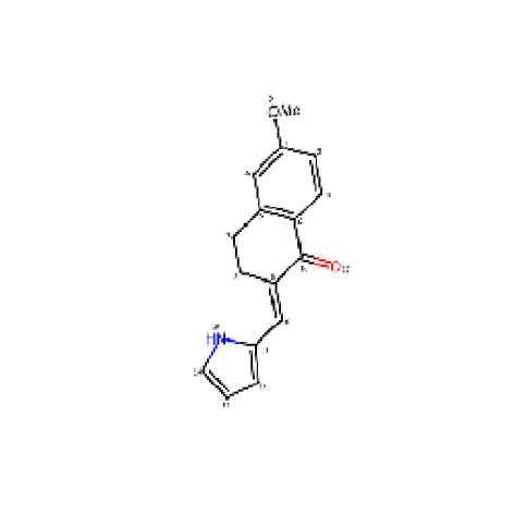 COc1ccc2c(c1)CC/C(=C\c1ccc[nH]1)C2=O